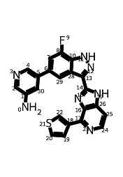 Nc1cncc(-c2cc(F)c3[nH]nc(-c4nc5c(-c6ccsc6)nccc5[nH]4)c3c2)c1